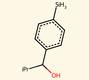 CC(C)C(O)c1ccc([SiH3])cc1